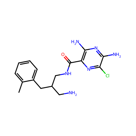 Cc1ccccc1CC(CN)CNC(=O)c1nc(Cl)c(N)nc1N